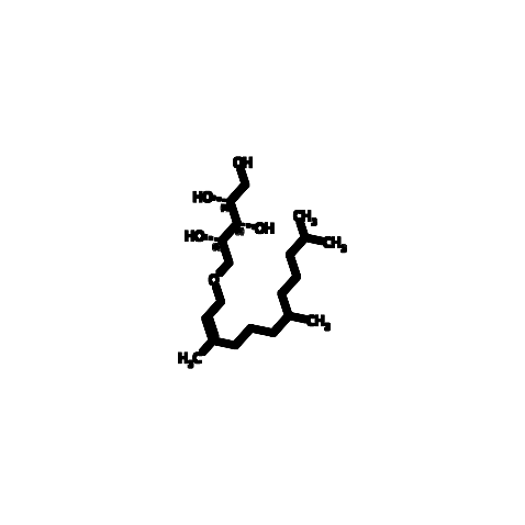 CC(=CCOC[C@H](O)[C@@H](O)[C@H](O)CO)CCCC(C)CCCC(C)C